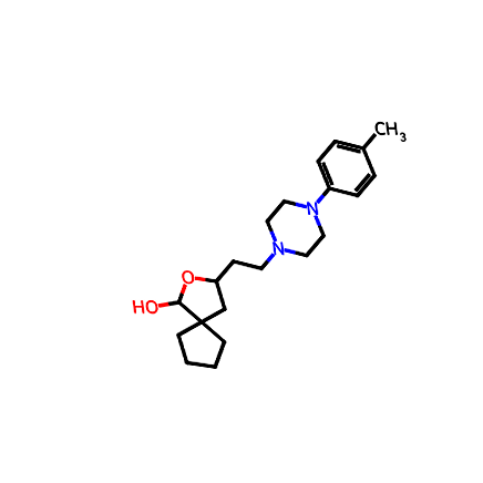 Cc1ccc(N2CCN(CCC3CC4(CCCC4)C(O)O3)CC2)cc1